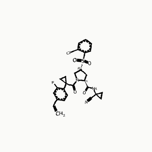 C=Cc1ccc(C2(C(=O)N3C[C@H](S(=O)(=O)c4ccccc4Cl)C[C@H]3C(=O)NC3(C#N)CC3)CC2)c(F)c1